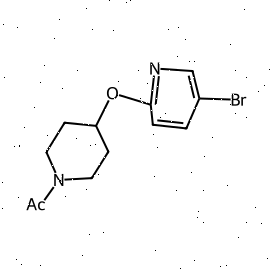 CC(=O)N1CCC(Oc2ccc(Br)cn2)CC1